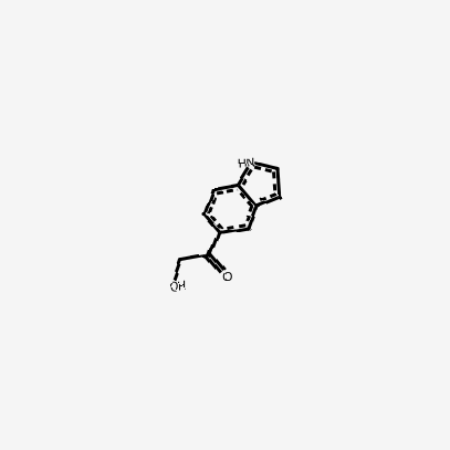 O=C(CO)c1ccc2[nH]ccc2c1